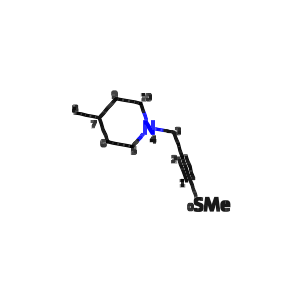 CSC#CCN1CCC(C)CC1